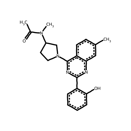 CC(=O)N(C)C1CCN(c2nc(-c3ccccc3O)nc3cc(C)ccc23)C1